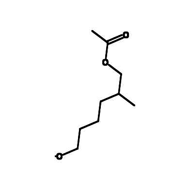 CC(=O)OCC(C)CCCC[O]